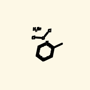 Cc1ccccn1.ClOCl.[SeH2]